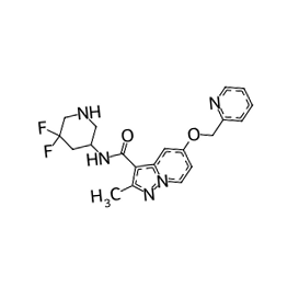 Cc1nn2ccc(OCc3ccccn3)cc2c1C(=O)NC1CNCC(F)(F)C1